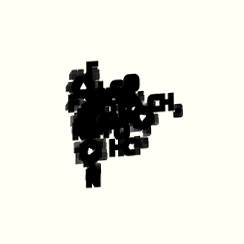 CC(=O)OCc1c(C)cccc1NC(=O)OC[n+]1c(-c2ccc(C#N)cc2)csc1[C@H](C)[C@](O)(C[n+]1cn[nH]c1)c1cc(F)ccc1F.Cl